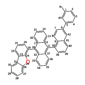 Cc1cccc(-c2ccc3c(-c4c5ccccc5c(-c5cccc6c5oc5ccccc56)c5ccccc45)cccc3c2)c1